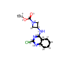 CC(C)(C)OC(=O)N1CC(Nc2nc(Cl)nc3ccccc23)C1